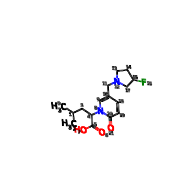 CC(C)CC(C(=O)O)n1cc(CN2CCC(F)C2)ccc1=O